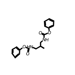 CC(CNC(=O)Oc1ccccc1)CNC(=O)Oc1ccccc1